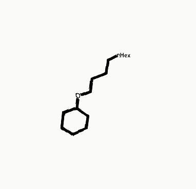 CCCCCCCCCCO[C]1CC[CH]CC1